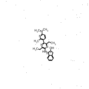 CCc1nc(-c2ccc(N(C)C)nc2C)c(CC)nc1N[C@@H]1c2ccccc2C[C@@H]1O